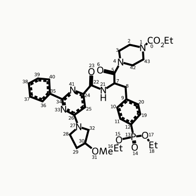 CCOC(=O)N1CCN(C(=O)C(Cc2ccc(P(=O)(OCC)OCC)cc2)NC(=O)c2cc(N3CCC(OC)C3)nc(-c3ccccc3)n2)CC1